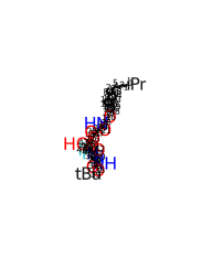 CC(C)CCC[C@@H](C)[C@H]1CCC2C3CC=C4C[C@@H](OCCNC(=O)CCC(=O)OCC5OC(n6ccc(NC(=O)OC(C)(C)C)nc6=O)C(F)(F)C5O)CC[C@]4(C)C3CC[C@@]21C